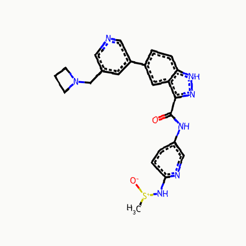 C[S+]([O-])Nc1ccc(NC(=O)c2n[nH]c3ccc(-c4cncc(CN5CCC5)c4)cc23)cn1